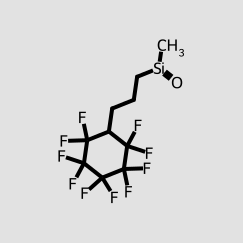 C[Si](=O)CCCC1C(F)(F)C(F)(F)C(F)(F)C(F)(F)C1(F)F